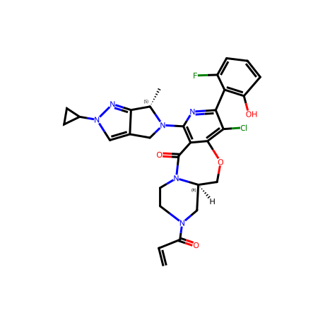 C=CC(=O)N1CCN2C(=O)c3c(N4Cc5cn(C6CC6)nc5[C@@H]4C)nc(-c4c(O)cccc4F)c(Cl)c3OC[C@H]2C1